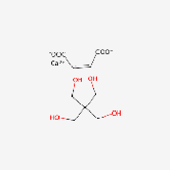 O=C([O-])/C=C\C(=O)[O-].OCC(CO)(CO)CO.[Ca+2]